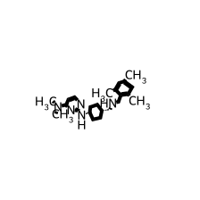 Cc1cc(C)c(CNC[C@H]2CC[C@@H](Nc3nccc(N(C)C)n3)CC2)c(C)c1